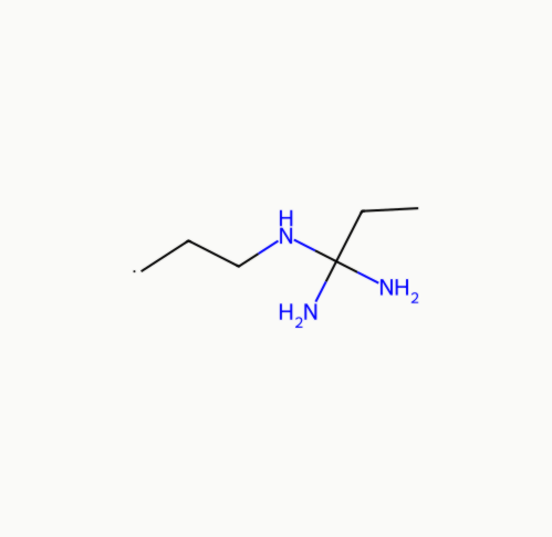 [CH2]CCNC(N)(N)CC